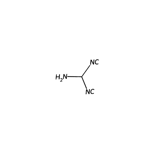 [C-]#[N+]C(N)[N+]#[C-]